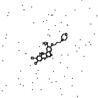 Nc1cc2c(Nc3cc(Cl)c(Cl)cc3F)ncnc2cc1OCCCN1CCOCC1